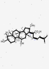 CC(=O)O[C@H]1C[C@@]2(C)[C@@H](C[C@@H](O)[C@@H]3[C@]2(C)CC[C@@]2(N)[C@H](C)[C@H](O)CC[C@]32C)/C1=C(\C=C/C=C(C)C)C(=O)O